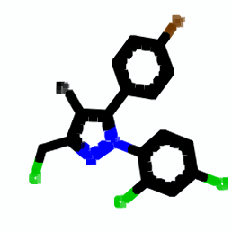 CCc1c(CCl)nn(-c2ccc(Cl)cc2Cl)c1-c1ccc(Br)cc1